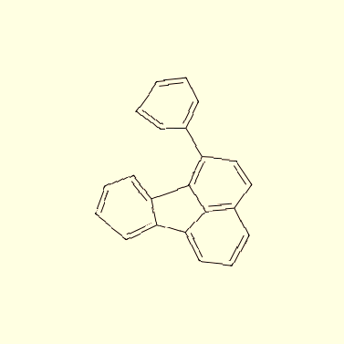 c1ccc(-c2ccc3cccc4c3c2-c2ccccc2-4)cc1